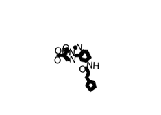 O=C(CCC1CCCC1)Nc1ccc2ncn3c(=O)c(C(=O)O)cnc3c2c1